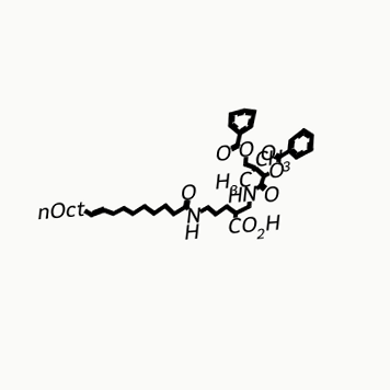 CCCCCCCCC=CCCCCCCCC(=O)NCCCC(CNC(=O)C(OC(=O)c1ccccc1)C(C)(C)COC(=O)c1ccccc1)C(=O)O